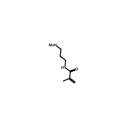 C=C(C)C(=O)NCCCNC